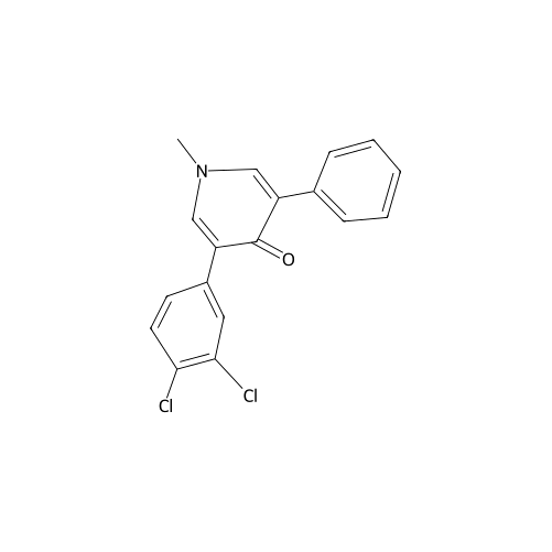 Cn1cc(-c2ccccc2)c(=O)c(-c2ccc(Cl)c(Cl)c2)c1